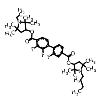 CCCCN1C(C)(C)CC(OC(=O)c2ccc(-c3ccc(C(=O)OC4CC(C)(C)N(CC)C4(C)C)c(F)c3F)c(F)c2)C1(C)C